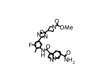 COC(=O)N1CC(c2nc(-c3cc(F)c(C)c(NC(=O)c4cnn5cc(C(N)=O)ccc45)c3)no2)C1